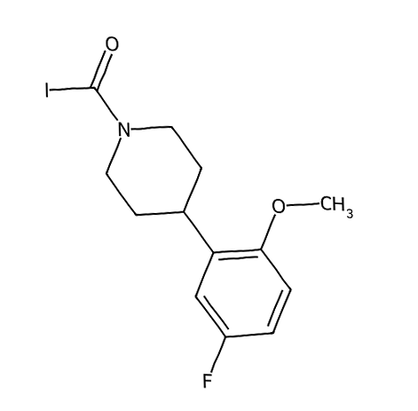 COc1ccc(F)cc1C1CCN(C(=O)I)CC1